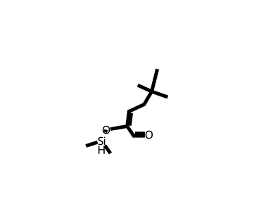 C[SiH](C)OC(C=O)=CCC(C)(C)C